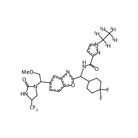 [2H]C([2H])([2H])C([2H])([2H])n1ccc(C(=O)NC(c2nc3cc(C(COC)N4CC(C(F)(F)F)NC4=O)ccc3o2)C2CCC(F)(F)CC2)n1